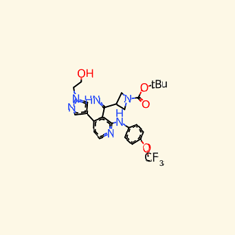 CC(C)(C)OC(=O)N1CC(C(=N)c2c(-c3cnn(CCO)c3)ccnc2Nc2ccc(OC(F)(F)F)cc2)C1